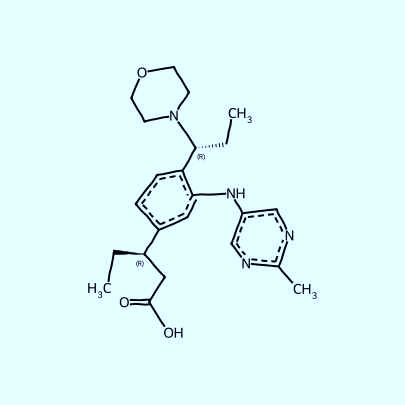 CC[C@H](CC(=O)O)c1ccc([C@@H](CC)N2CCOCC2)c(Nc2cnc(C)nc2)c1